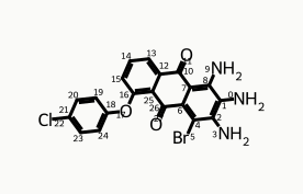 Nc1c(N)c(Br)c2c(c1N)C(=O)c1cccc(Oc3ccc(Cl)cc3)c1C2=O